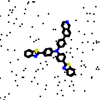 c1ccc2sc(-c3ccc(N(c4ccc(-c5ccc6cnccc6c5)cc4)c4ccc(-c5nc6ccccc6s5)cc4)cc3)nc2c1